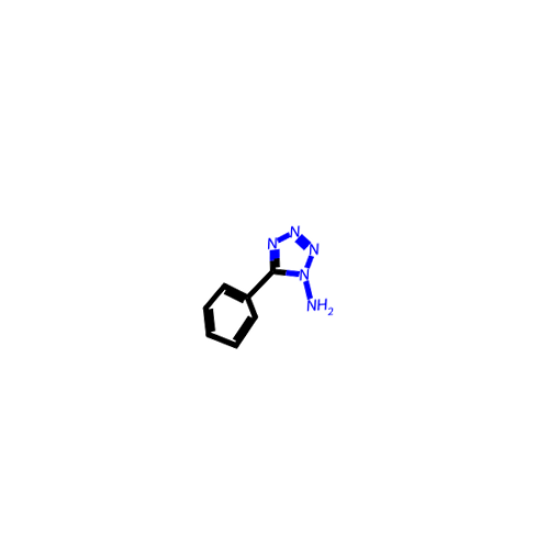 Nn1nnnc1-c1ccccc1